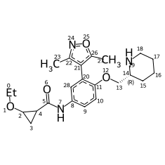 CCOC1CC1C(=O)Nc1ccc(OC[C@H]2CCCCN2)c(-c2c(C)noc2C)c1